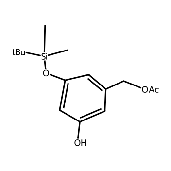 CC(=O)OCc1cc(O)cc(O[Si](C)(C)C(C)(C)C)c1